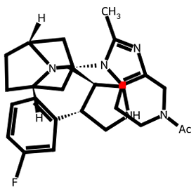 CC(=O)N1CCc2c(nc(C)n2[C@H]2C[C@H]3CC[C@@H](C2)N3C[C@H]2CNC[C@@H]2c2cccc(F)c2)C1